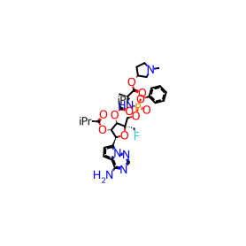 CC(C)C(=O)O[C@H]1[C@H](c2ccc3c(N)ncnn23)O[C@](CF)(COP(=O)(N[C@@H](C)C(=O)O[C@@H]2CCN(C)C2)Oc2ccccc2)[C@H]1OC(=O)C(C)C